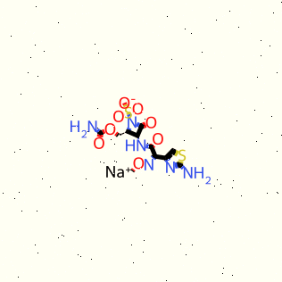 CON=C(C(=O)N[C@H]1C(=O)N(S(=O)(=O)[O-])[C@H]1COC(N)=O)c1csc(N)n1.[Na+]